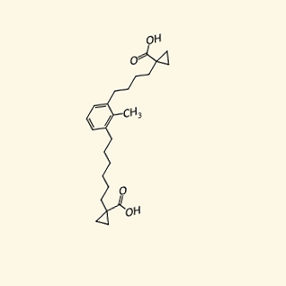 Cc1c(CCCCCCC2(C(=O)O)CC2)cccc1CCCCC1(C(=O)O)CC1